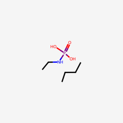 CCCC.CCNP(=O)(O)O